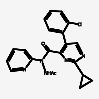 CC(=O)NN(C(=O)c1nc(C2CC2)ncc1-c1ccccc1Cl)c1ccccn1